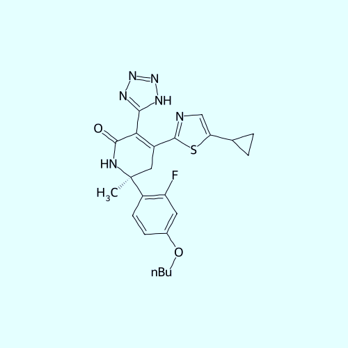 CCCCOc1ccc([C@]2(C)CC(c3ncc(C4CC4)s3)=C(c3nnn[nH]3)C(=O)N2)c(F)c1